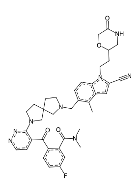 Cc1c(CN2CCC3(CCN(c4nnccc4C(=O)c4ccc(F)cc4C(=O)N(C)C)C3)C2)ccc2c1cc(C#N)n2CCC1CNC(=O)CO1